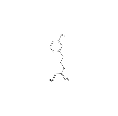 C=CC(=C)OCCc1cccc(N)c1